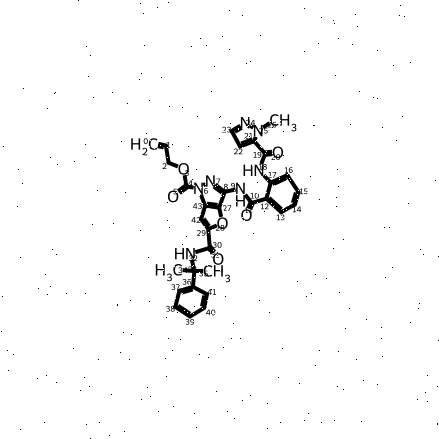 C=CCOC(=O)n1nc(NC(=O)c2ccccc2NC(=O)c2ccnn2C)c2oc(C(=O)NC(C)(C)c3ccccc3)cc21